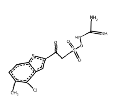 Cc1ccc2sc(C(=O)CS(=O)(=O)ONC(=N)N)cc2c1Cl